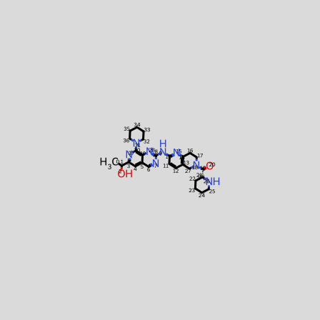 CC(O)c1cc2cnc(Nc3ccc4c(n3)CCN(C(=O)[C@H]3CCCCN3)C4)nc2c(N2CCCCC2)n1